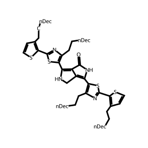 CCCCCCCCCCCCc1ccsc1-c1nc(CCCCCCCCCCCC)c(C2=C3CNC(c4sc(-c5sccc5CCCCCCCCCCCC)nc4CCCCCCCCCCCC)=C3C(=O)N2)s1